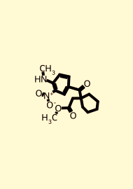 CNc1ccc(C(=O)C2(CC(=O)OC)CCCCC2)cc1[N+](=O)[O-]